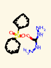 NNC(=O)NN.O=S(=O)(c1ccccc1)c1ccccc1